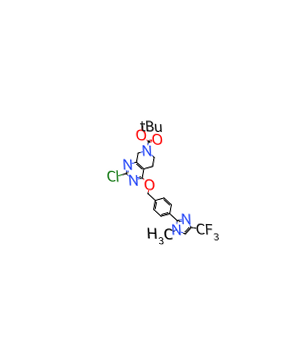 Cn1cc(C(F)(F)F)nc1-c1ccc(COc2nc(Cl)nc3c2CCN(C(=O)OC(C)(C)C)C3)cc1